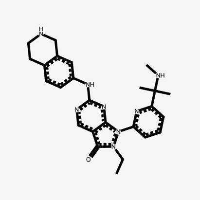 CCn1c(=O)c2cnc(Nc3ccc4c(c3)CNCC4)nc2n1-c1cccc(C(C)(C)NC)n1